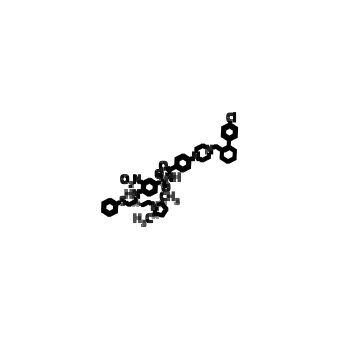 C[C@@H]1CC[C@H](C)N1CC[C@H](CSc1ccccc1)Nc1ccc(S(=O)(=O)NC(=O)c2ccc(N3CCN(CC4=C(c5ccc(Cl)cc5)CCCC4)CC3)cc2)cc1[N+](=O)[O-]